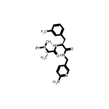 CC(C)N(C)[C@@H](C)C(=O)N[C@@H](Cc1cccc(C(F)(F)F)c1)C(=O)NCc1ccc(N)nc1